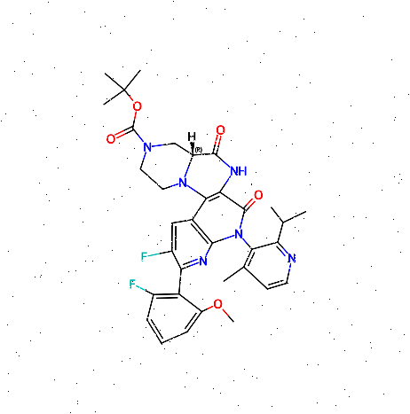 COc1cccc(F)c1-c1nc2c(cc1F)c1c(c(=O)n2-c2c(C)ccnc2C(C)C)NC(=O)[C@H]2CN(C(=O)OC(C)(C)C)CCN12